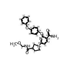 COCNC(=O)C1CCN(c2ccc(C(N)=O)c(Oc3ccc(Oc4ccccc4)cc3)n2)C1